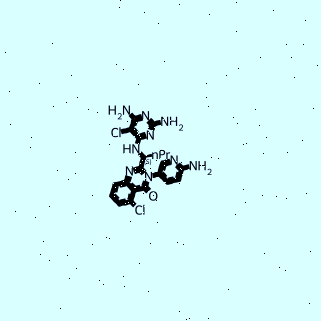 CCC[C@H](Nc1nc(N)nc(N)c1Cl)c1nc2cccc(Cl)c2c(=O)n1-c1ccc(N)nc1